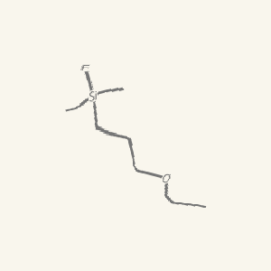 CCOCCC[Si](C)(C)F